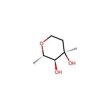 C[C@@H]1OCC[C@@](C)(O)[C@H]1O